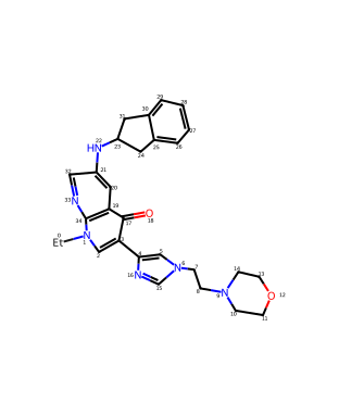 CCn1cc(-c2cn(CCN3CCOCC3)cn2)c(=O)c2cc(NC3Cc4ccccc4C3)cnc21